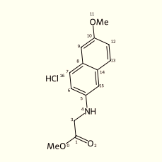 COC(=O)CNc1ccc2cc(OC)ccc2c1.Cl